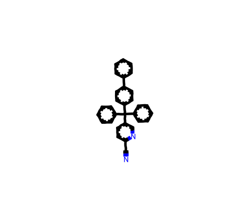 N#Cc1ccc(C(c2ccccc2)(c2ccccc2)c2ccc(-c3ccccc3)cc2)cn1